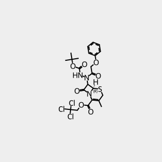 CC1=C(C(=O)OCC(Cl)(Cl)Cl)N2C(=O)C(N(NC(=O)OC(C)(C)C)C(=O)COc3ccccc3)[C@H]2SC1